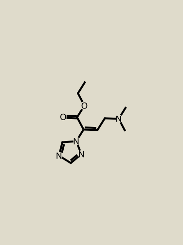 CCOC(=O)/C(=C\CN(C)C)n1cncn1